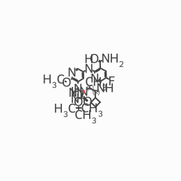 COc1ncc(Nc2nc(N[C@H](C3CCC3)[C@H](C)NC(=O)OC(C)(C)C)c(F)cc2C(N)=O)cc1-n1ccnn1